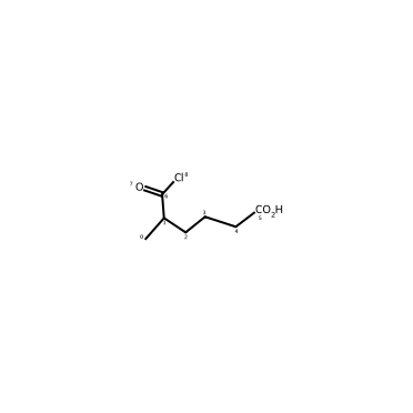 CC(CCCC(=O)O)C(=O)Cl